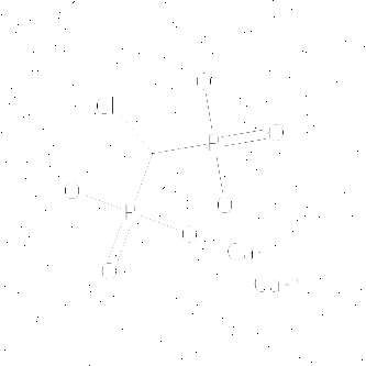 O=P([O-])([O-])C(Cl)P(=O)([O-])[O-].[Ca+2].[Ca+2]